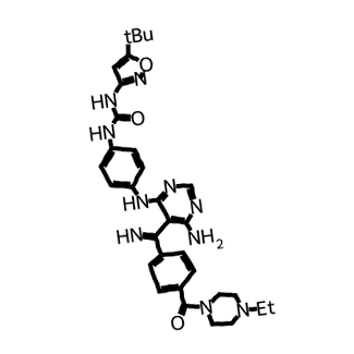 CCN1CCN(C(=O)c2ccc(C(=N)c3c(N)ncnc3Nc3ccc(NC(=O)Nc4cc(C(C)(C)C)on4)cc3)cc2)CC1